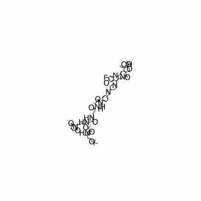 CC[C@@]1(O)C(=O)OCc2c1cc1n(c2=O)Cc2c-1nc1cc(F)c(OC)cc1c2CN1CCC(N(C)Cc2ccc(NC(=O)[C@H](C)NC(=O)CCCNC(=O)[C@H](CCC(=O)NC(C)(C)CCOC(C)(C)C)NC(=O)CCCN3C(=O)C=CC3=O)cc2)CC1